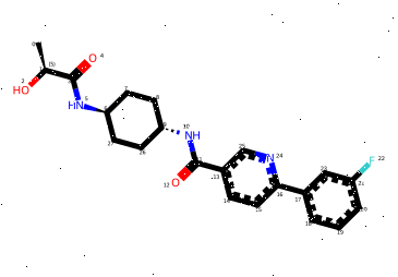 C[C@H](O)C(=O)N[C@H]1CC[C@H](NC(=O)c2ccc(-c3cccc(F)c3)nc2)CC1